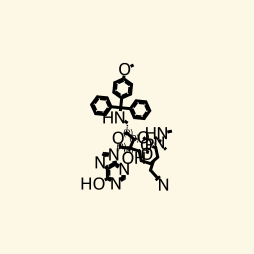 CNN(C)P(OCCC#N)O[C@@H]1[C@@H](CNC(c2ccccc2)(c2ccccc2)c2ccc(OC)cc2)O[C@@H](n2cnc3c(O)ncnc32)[C@@]1(O)C1CCCCO1